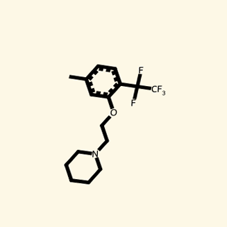 Cc1ccc(C(F)(F)C(F)(F)F)c(OCCN2CCCCC2)c1